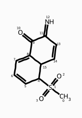 CS(=O)(=O)C1C=CC=C2C(=O)C(=N)C=CC21